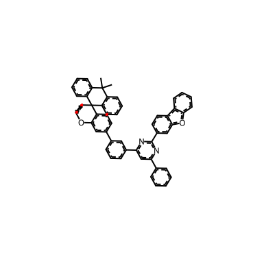 CC1(C)c2ccccc2C2(c3ccccc3Oc3cc(-c4cccc(-c5cc(-c6ccccc6)nc(-c6ccc7c(c6)oc6ccccc67)n5)c4)ccc32)c2ccccc21